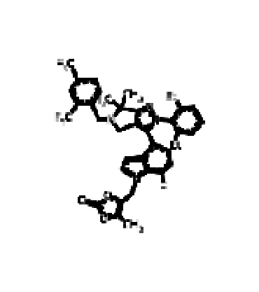 CCc1cccc(CC)c1-n1nc2c(c1-c1ccc(F)c3c1ccn3Cc1oc(=O)oc1C)CN(Cc1ccc(C(F)(F)F)cc1C(F)(F)F)C2(C)C